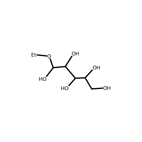 CCOC(O)C(O)C(O)C(O)CO